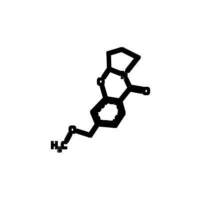 COCc1ccc2c(c1)OC1CCCN1C2=O